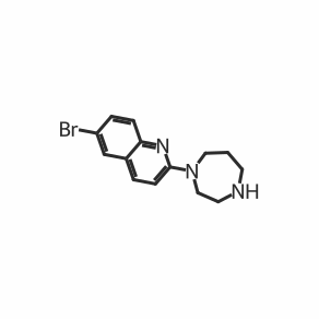 Brc1ccc2nc(N3CCCNCC3)ccc2c1